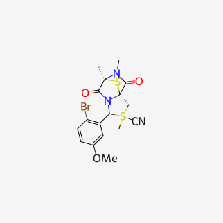 COc1ccc(Br)c(C2N3C(=O)[C@]4(C)S[C@@]3(CS2(C)C#N)C(=O)N4C)c1